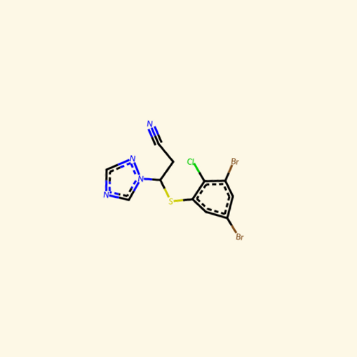 N#CCC(Sc1cc(Br)cc(Br)c1Cl)n1cncn1